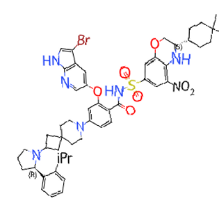 CC(C)c1ccccc1[C@H]1CCCN1C1CC2(CCN(c3ccc(C(=O)NS(=O)(=O)c4cc5c(c([N+](=O)[O-])c4)N[C@@H](C4CCC(C)(C)CC4)CO5)c(Oc4cnc5[nH]cc(Br)c5c4)c3)CC2)C1